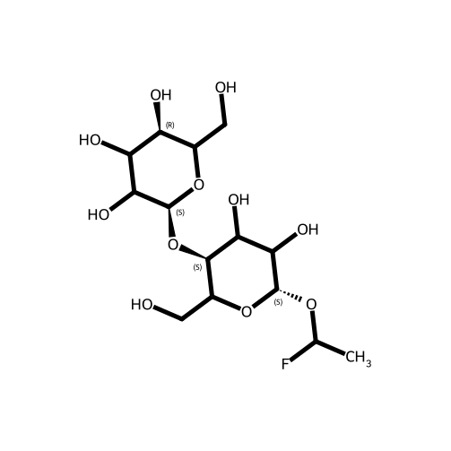 CC(F)O[C@@H]1OC(CO)[C@@H](O[C@@H]2OC(CO)[C@H](O)C(O)C2O)C(O)C1O